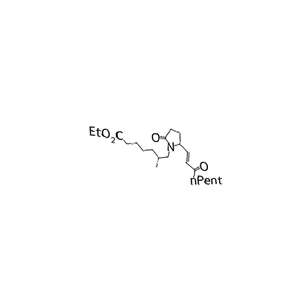 CCCCCC(=O)/C=C/C1CCC(=O)N1CC(C)CCCCC(=O)OCC